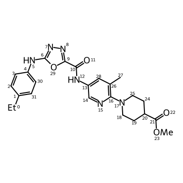 CCc1ccc(Nc2nnc(C(=O)Nc3cnc(N4CCC(C(=O)OC)CC4)c(C)c3)o2)cc1